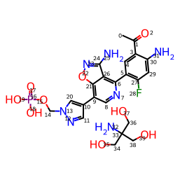 CC(=O)c1cc(-c2ncc(-c3cnn(COP(=O)(O)O)c3)c3onc(N)c23)c(F)cc1N.NC(CO)(CO)CO